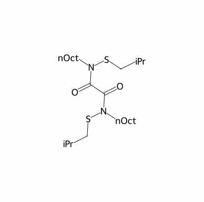 CCCCCCCCN(SCC(C)C)C(=O)C(=O)N(CCCCCCCC)SCC(C)C